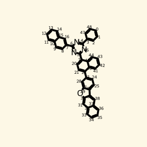 c1ccc(-c2nc(-c3ccc4ccccc4c3)nc(-c3ccc(-c4ccc5c(c4)oc4cc6ccccc6cc45)c4ccccc34)n2)cc1